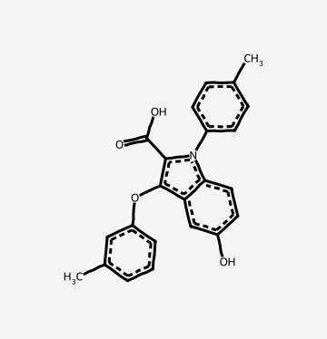 Cc1ccc(-n2c(C(=O)O)c(Oc3cccc(C)c3)c3cc(O)ccc32)cc1